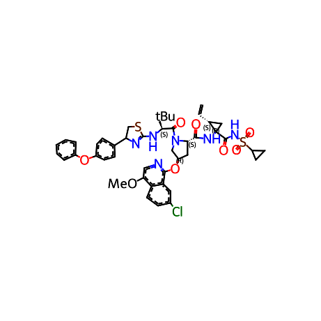 C=C[C@@H]1C[C@]1(NC(=O)[C@@H]1C[C@@H](Oc2ncc(OC)c3ccc(Cl)cc23)CN1C(=O)[C@@H](NC1=NC(c2ccc(Oc3ccccc3)cc2)CS1)C(C)(C)C)C(=O)NS(=O)(=O)C1CC1